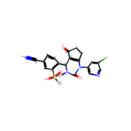 CN1C(=O)N(c2cncc(Br)c2)C2=C(C(=O)CC2)C1c1ccc(C#N)cc1S(C)(=O)=O